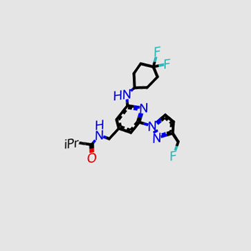 CC(C)C(=O)NCc1cc(NC2CCC(F)(F)CC2)nc(-n2ccc(CF)n2)c1